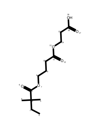 CCC(C)(C)C(=O)OCCCC(=O)OCCC(=O)O